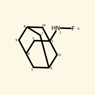 FNC12CC3CC(CC(C3)C1)C2